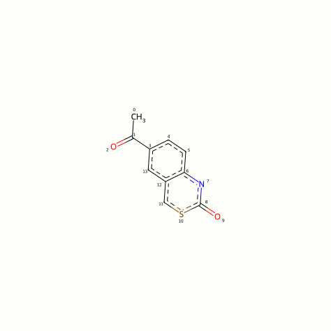 CC(=O)c1ccc2nc(=O)scc2c1